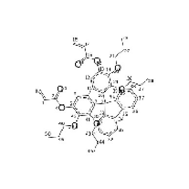 C=CC(=O)Oc1ccc(C2(c3ccc(OC(=O)C=C)c(OCCC)c3OCCC)c3ccccc3-c3ccccc32)c(OCCC)c1OCCC